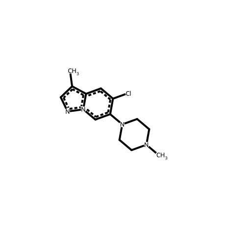 Cc1cnn2cc(N3CCN(C)CC3)c(Cl)cc12